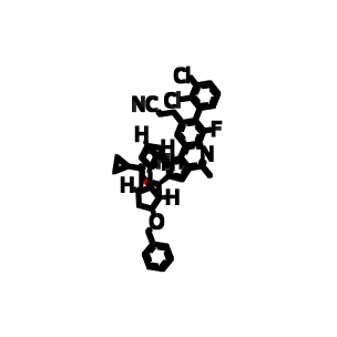 Cc1nc2c(F)c(-c3cccc(Cl)c3Cl)c(CCC#N)cc2c2c1cc([C@H]1[C@H]3C[C@H](C[C@@H]3OCc3ccccc3)N1C(=O)C1CC1)n2[C@H]1[C@H]2CN[C@@H]1C2